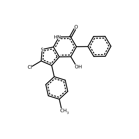 Cc1ccc(-c2c(Cl)sc3[nH]c(=O)c(-c4ccccc4)c(O)c23)cc1